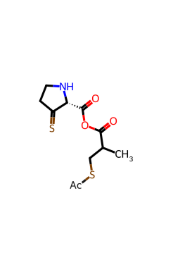 CC(=O)SCC(C)C(=O)OC(=O)[C@H]1NCCC1=S